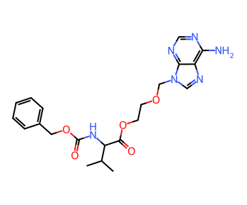 CC(C)C(NC(=O)OCc1ccccc1)C(=O)OCCOCn1cnc2c(N)ncnc21